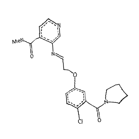 CNC(=O)c1ccncc1/N=C/COc1ccc(Cl)c(C(=O)N2CCCC2)c1